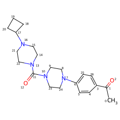 CC(=O)c1ccc(N2CCN(C(=O)N3CCN(C4CCC4)CC3)CC2)cc1